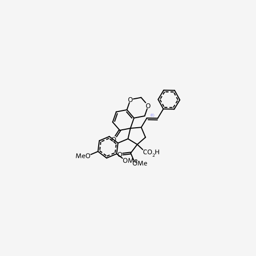 COC(=O)C1(C(=O)O)CC(/C=C/c2ccccc2)C2(C(=O)C=CC3=C2COCO3)C1c1ccc(OC)cc1OC